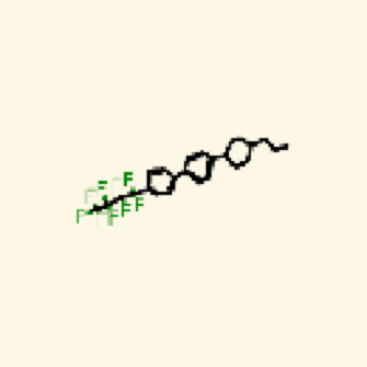 CCCC1CCC(c2ccc(-c3ccc(C(F)(F)C(F)(F)C(F)(F)C(F)(F)F)cc3)cc2)CC1